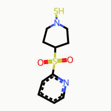 O=S(=O)(c1ccccn1)C1CCN(S)CC1